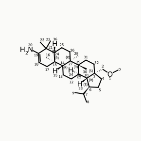 COC[C@]12CC[C@@H](C(C)C)[C@@H]1[C@H]1CC[C@@H]3[C@@]4(C)CC=C(N)C(C)(C)[C@@H]4CC[C@@]3(C)[C@]1(C)CC2